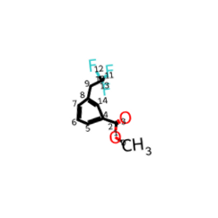 COC(=O)c1cccc(CC(F)(F)F)c1